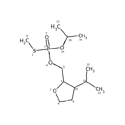 CSP(=O)(OCC1OCCC1C(C)C)OC(C)C